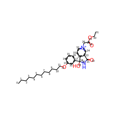 CCCCCCCCCCCCOc1cccc(C2(O)NC(=O)c3c[n+](CC(=O)OCC)ccc32)c1